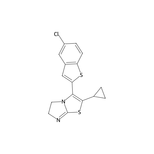 Clc1ccc2sc(C3=C(C4CC4)SC4=NCCN43)cc2c1